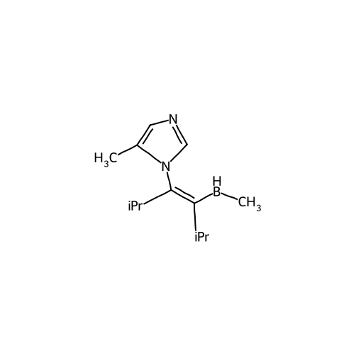 CB/C(=C(/C(C)C)n1cncc1C)C(C)C